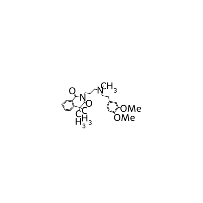 COc1ccc(CCN(C)CCCN2C(=O)c3ccccc3C(C)(C)C2=O)cc1OC